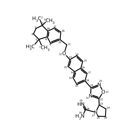 CC1(C)CCC(C)(C)c2cc(COc3ccc4cc(-c5noc(C6CCCN6C(=N)N)n5)ccc4c3)ccc21